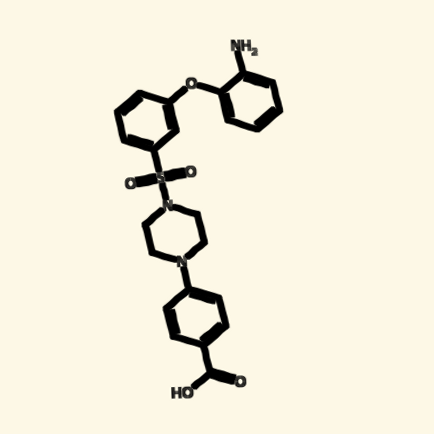 Nc1ccccc1Oc1cccc(S(=O)(=O)N2CCN(c3ccc(C(=O)O)cc3)CC2)c1